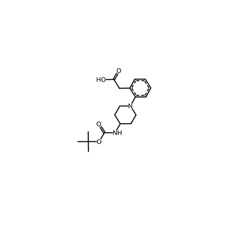 CC(C)(C)OC(=O)NC1CCN(c2ccccc2CC(=O)O)CC1